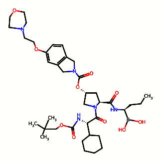 CCC[C@H](NC(=O)[C@@H]1C[C@@H](OC(=O)N2Cc3ccc(OCCN4CCOCC4)cc3C2)CN1C(=O)[C@@H](NC(=O)OCC(C)(C)C)C1CCCCC1)B(O)O